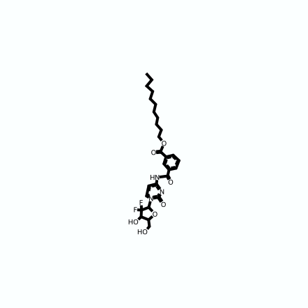 CCCCCCCCCCCOC(=O)c1cccc(C(=O)Nc2ccn(C3OC(CO)C(O)C3(F)F)c(=O)n2)c1